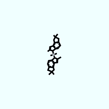 CC1=Cc2c(ccc3c2CC(C)(C)C3)C1[Si](C)(C)C1C(C)=Cc2c1ccc1c2CC(C)(C)C1